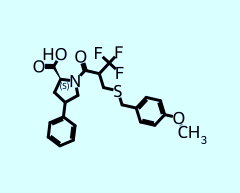 COc1ccc(CSCC(C(=O)N2CC(c3ccccc3)C[C@H]2C(=O)O)C(F)(F)F)cc1